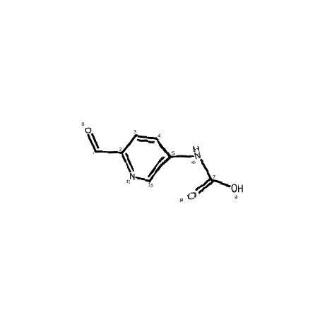 O=Cc1ccc(NC(=O)O)cn1